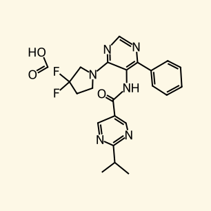 CC(C)c1ncc(C(=O)Nc2c(-c3ccccc3)ncnc2N2CCC(F)(F)C2)cn1.O=CO